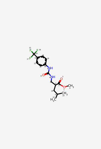 COC(=O)C(CNC(=O)Nc1ccc(C(F)(F)F)cc1)CC(C)C